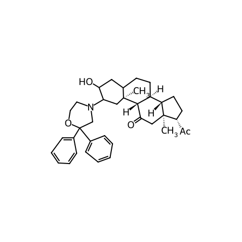 CC(=O)[C@H]1CC[C@H]2[C@@H]3CCC4CC(O)C(N5CCOC(c6ccccc6)(c6ccccc6)C5)C[C@]4(C)[C@H]3C(=O)C[C@]12C